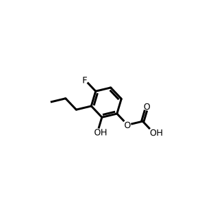 CCCc1c(F)ccc(OC(=O)O)c1O